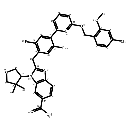 COc1cc(Cl)ccc1COc1cccc(-c2cc(F)c(Cc3nc4ccc(C(=O)O)cc4n3[C@@H]3COCC3(C)C)cc2F)n1